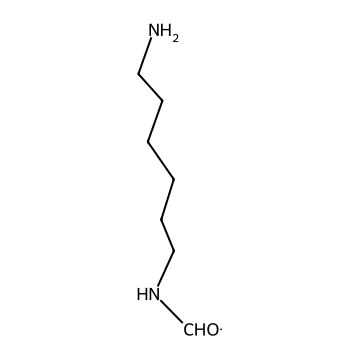 NCCCCCCN[C]=O